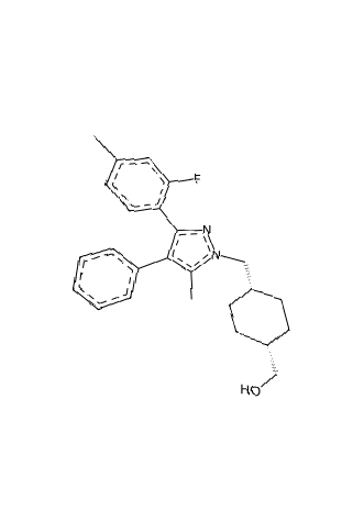 Cc1ccc(-c2nn(C[C@H]3CC[C@@H](CO)CC3)c(C)c2-c2ccccc2)c(F)c1